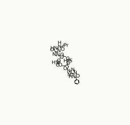 CC(C)C(=O)Nc1nc2c(ncn2C2OC3CO[PH](=S)OC4CC(n5cnc6c(NC(=O)c7ccccc7)ncnc65)OC4COP(=O)(S)OC2C3)c(=O)[nH]1